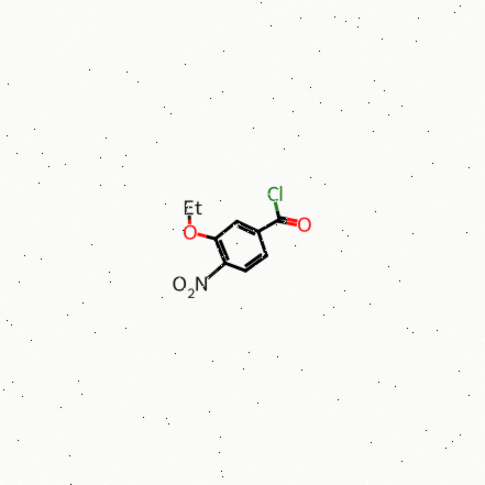 CCOc1cc(C(=O)Cl)ccc1[N+](=O)[O-]